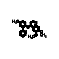 COc1cc2nccc(Oc3ccc(C)cc3-c3ccccn3)c2cc1OC